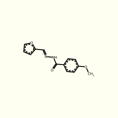 COc1ccc(C(=O)N/N=C/c2ccco2)cc1